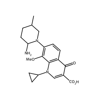 COc1c(N2CC(C)CCC2N)ccc2c(=O)c(C(=O)O)cn(C3CC3)c12